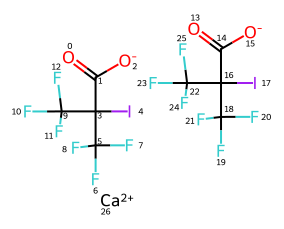 O=C([O-])C(I)(C(F)(F)F)C(F)(F)F.O=C([O-])C(I)(C(F)(F)F)C(F)(F)F.[Ca+2]